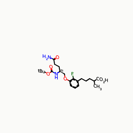 CC(CCCc1cccc(OC[C@H](CCC(N)=O)NC(=O)OC(C)(C)C)c1F)C(=O)O